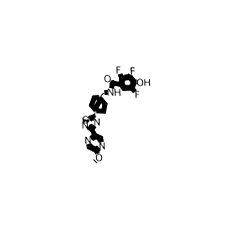 COc1cnc(-c2noc([C@]34CC[C@](CNC(=O)c5cc(F)c(O)c(F)c5F)(CC3)CC4)n2)cn1